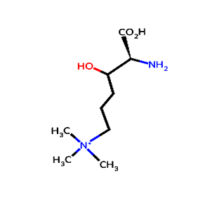 C[N+](C)(C)CCCC(O)[C@H](N)C(=O)O